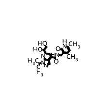 Cc1cc(C)c(CNC(=O)c2cc(C(O)CO)nc3c2cnn3C(C)C)c(=O)[nH]1